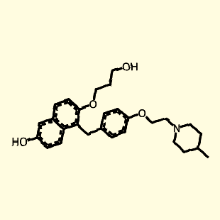 CC1CCN(CCOc2ccc(Cc3c(OCCCO)ccc4cc(O)ccc34)cc2)CC1